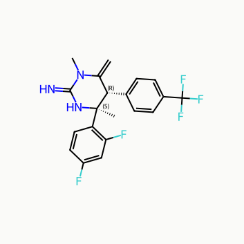 C=C1[C@H](c2ccc(C(F)(F)F)cc2)[C@@](C)(c2ccc(F)cc2F)NC(=N)N1C